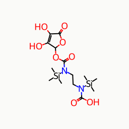 C[Si](C)(C)N(CCN(C(=O)OC1OC(=O)C(O)=C1O)[Si](C)(C)C)C(=O)O